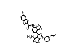 CC=CN1CCC[C@@H](n2nc(-c3ccc(NC(=O)c4cc5cc(F)ccc5o4)c4c3OCO4)c3c(N)ncnc32)C1